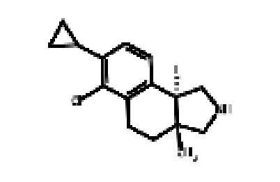 C[C@@]12CCc3c(ccc(C4CC4)c3Cl)[C@H]1CNC2